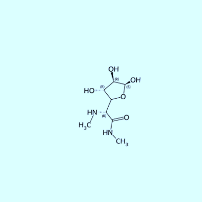 CNC(=O)[C@H](NC)C1O[C@H](O)[C@H](O)[C@H]1O